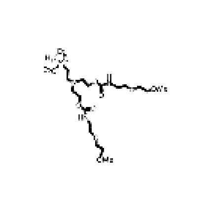 CCO[Si](C)(CCN(CCOC(=O)NCCOCCOC)CCOC(=O)NCCOCCOC)OCC